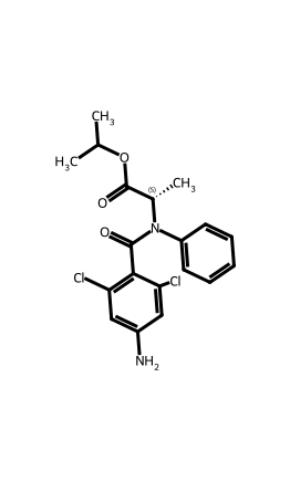 CC(C)OC(=O)[C@H](C)N(C(=O)c1c(Cl)cc(N)cc1Cl)c1ccccc1